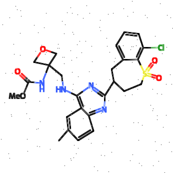 COC(=O)NC1(CNc2nc(C3CCS(=O)(=O)c4c(Cl)cccc4C3)nc3ccc(C)cc23)COC1